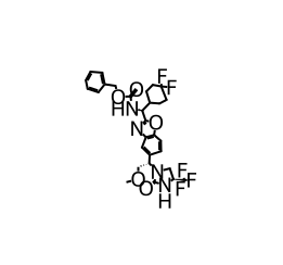 COC[C@H](c1ccc2oc([C@@H](NC(=O)OCc3ccccc3)C3CCC(F)(F)CC3)nc2c1)N1C[C@@H](C(F)(F)F)NC1=O